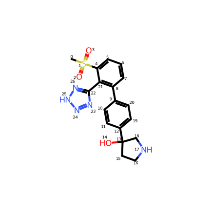 CS(=O)(=O)c1cccc(-c2ccc(C3(O)CCNC3)cc2)c1-c1nn[nH]n1